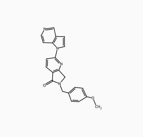 COc1ccc(CN2Cc3nc(-n4ccc5cnccc54)ccc3C2=O)cc1